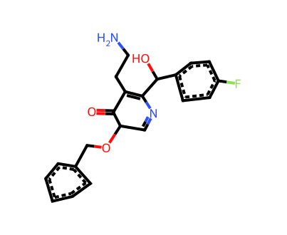 NCCC1=C(C(O)c2ccc(F)cc2)N=CC(OCc2ccccc2)C1=O